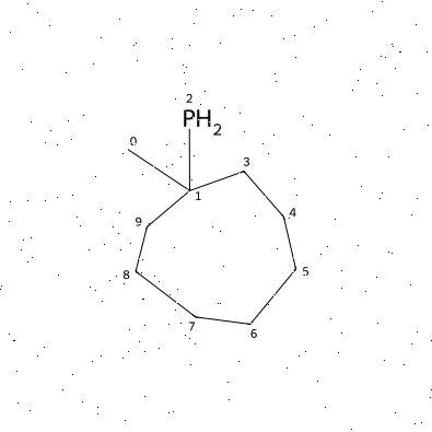 CC1(P)CCCCCCC1